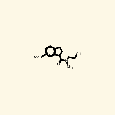 COc1ccc2c(c1)C(C(=O)N(C)CCO)CC2